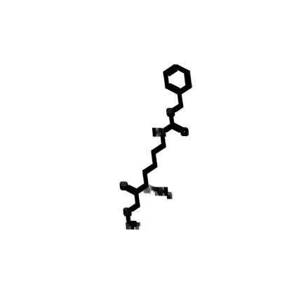 CCCOCC(=O)[C@@H](N)CCCCNC(=O)OCc1ccccc1